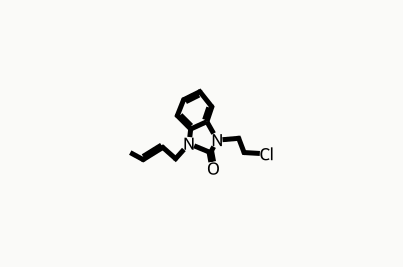 CC=CCn1c(=O)n(CCCl)c2ccccc21